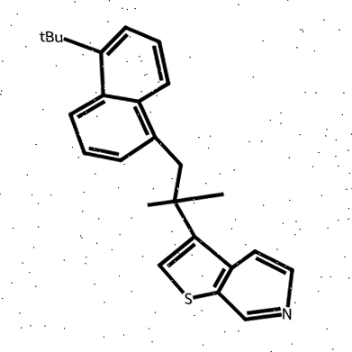 CC(C)(C)c1cccc2c(CC(C)(C)c3csc4cnccc34)cccc12